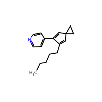 CCCCCC1=CC2(C=C1c1ccncc1)CC2